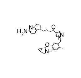 Cc1cc(CN2CC3CC3C2=O)ccc1Cn1cc(C(=O)CCCC2CCc3nc(N)ccc32)cn1